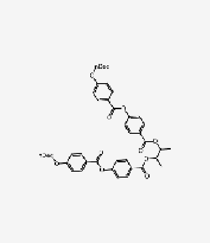 CCCCCCCCCCOc1ccc(C(=O)Oc2ccc(C(=O)OC(C)C(C)OC(=O)c3ccc(OC(=O)c4ccc(OCCCCCCCCCC)cc4)cc3)cc2)cc1